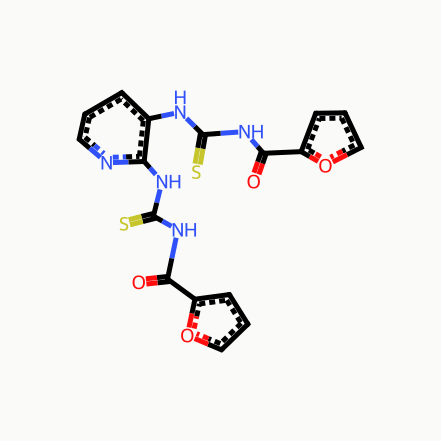 O=C(NC(=S)Nc1cccnc1NC(=S)NC(=O)c1ccco1)c1ccco1